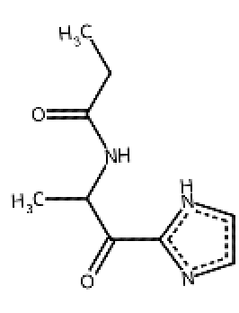 CCC(=O)NC(C)C(=O)c1ncc[nH]1